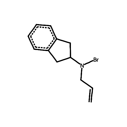 C=CCN(Br)C1Cc2ccccc2C1